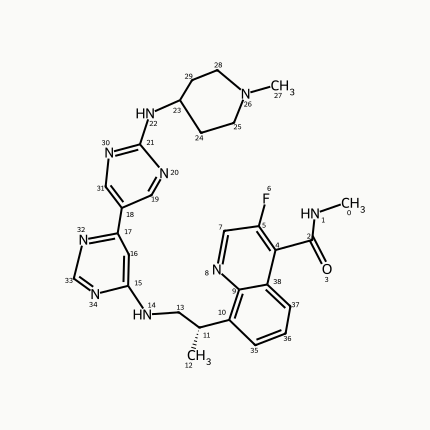 CNC(=O)c1c(F)cnc2c([C@H](C)CNc3cc(-c4cnc(NC5CCN(C)CC5)nc4)ncn3)cccc12